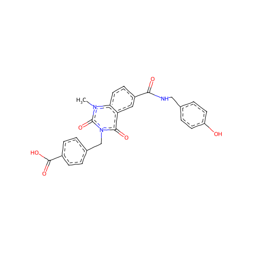 Cn1c(=O)n(Cc2ccc(C(=O)O)cc2)c(=O)c2cc(C(=O)NCc3ccc(O)cc3)ccc21